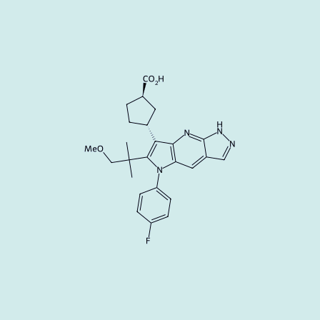 COCC(C)(C)c1c([C@@H]2CC[C@@H](C(=O)O)C2)c2nc3[nH]ncc3cc2n1-c1ccc(F)cc1